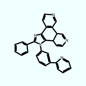 C1=CC2c3c(nc(-c4ccccc4)n3-c3cccc(-c4ccccn4)c3)-c3ccncc3C2C=N1